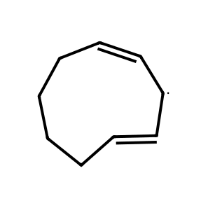 [CH]1/C=C\CCCC/C=C/1